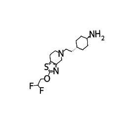 N[C@H]1CC[C@H](CCN2CCc3sc(OCC(F)F)nc3C2)CC1